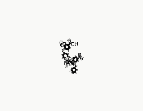 COc1cc(C(=O)O)ccc1OC1CCN(CC(O)(c2cn(Cc3ccccc3)c3cc([N+](=O)[O-])ccc23)C(F)(F)F)CC1